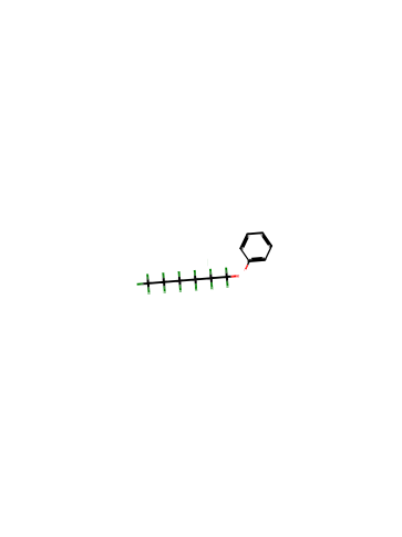 FC(F)(F)C(F)(F)C(F)(F)C(F)(F)C(F)(F)C(F)(F)Oc1[c]cccc1